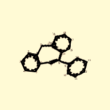 [CH]1c2ccccc2C=C(c2ccccc2)c2ccccc21